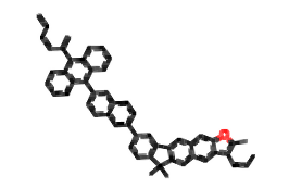 C=C/C=C\C(=C)c1c2ccccc2c(-c2ccc3cc(-c4ccc5c(c4)-c4cc6cc7oc(C)c(/C=C\C)c7cc6cc4C5(C)C)ccc3c2)c2ccccc12